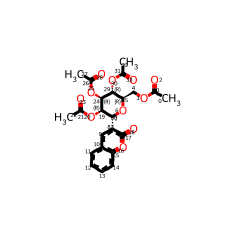 CC(=O)OC[C@H]1O[C@H](c2cc3ccccc3oc2=O)[C@@H](OC(C)=O)[C@@H](OC(C)=O)[C@@H]1OC(C)=O